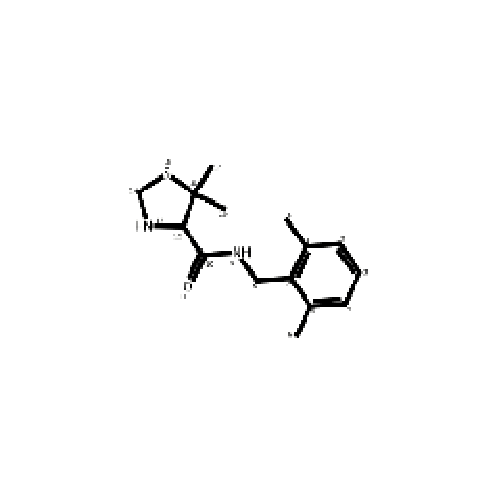 Cc1cccc(C)c1CNC(=O)C1NCSC1(C)C